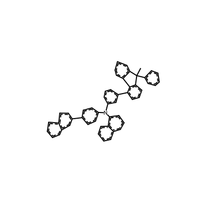 CC1(c2ccccc2)c2ccccc2-c2c(-c3cccc(N(c4ccc(-c5ccc6ccccc6c5)cc4)c4cccc5ccccc45)c3)cccc21